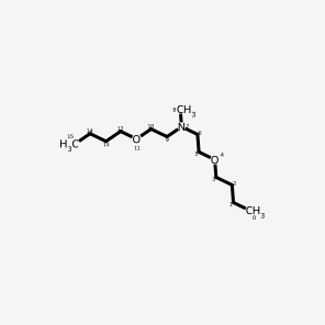 CCCCOCCN(C)CCOCCCC